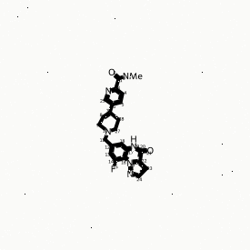 CNC(=O)c1ccc(C2=CCN(Cc3cc(F)c4c(c3)[nH]c(=O)c3ccnn34)CC2)cn1